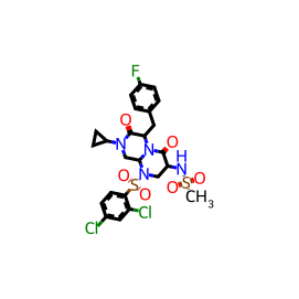 CS(=O)(=O)NC1CN(S(=O)(=O)c2ccc(Cl)cc2Cl)C2CN(C3CC3)C(=O)C(Cc3ccc(F)cc3)N2C1=O